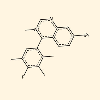 Cc1cc(-c2c3ccc(C(C)C)cc3nc[n+]2C)c(C)c(C)c1F